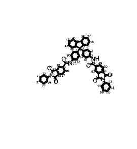 O=C(Nc1ccc(C2(c3ccc(NC(=O)c4ccc5c(c4)C(=O)N(c4ccccc4)C5=O)cc3)c3ccccc3-c3ccccc32)cc1)c1ccc2c(c1)C(=O)N(c1ccccc1)C2=O